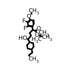 CCCC1CCC(C(O)CCC(C(=O)OC(C)(C)C)c2ccc(OCC)c(F)c2F)CC1